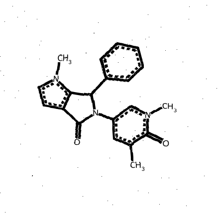 Cc1cc(N2C(=O)c3ccn(C)c3C2c2ccccc2)cn(C)c1=O